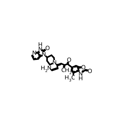 C=C(/C=C(\C=C/N)N1CCC(n2c(=O)[nH]c3ncccc32)CC1)C(=O)c1cc(C)c2[nH]c(=O)oc2c1